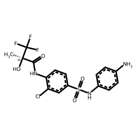 C[C@@](O)(C(=O)Nc1ccc(S(=O)(=O)Nc2ccc(N)cc2)cc1Cl)C(F)(F)F